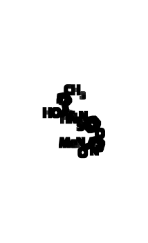 CNC(=O)c1cc(Oc2ccc3nc(NC[C@H](CO)[C@@H]4CC[C@H](C)C4)sc3c2)ccn1